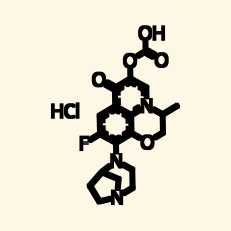 CC1COc2c(N3CCN4CCC3C4)c(F)cc3c(=O)c(OC(=O)O)cn1c23.Cl